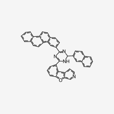 c1ccc2cc(C3N=C(c4ccc5ccc6c7ccccc7ccc6c5c4)N=C(c4cccc5oc6cnccc6c45)N3)ccc2c1